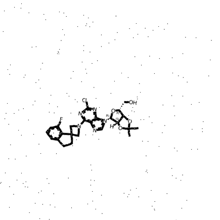 CC1(C)OC2[C@@H](CO)O[C@@H](n3cnc4c(N5CC6(CCc7cccc(F)c76)C5)nc(Cl)nc43)[C@H]2O1